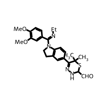 CCN=C(c1ccc(OC)c(OC)c1)N1CCc2cc(C3=NNC(C=O)SC3(C)C)ccc21